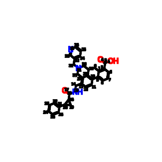 Cc1c(C(=O)O)cccc1-c1ccc(CNC(=O)C2CC2c2ccccc2)c2c1CCN(Cc1cccnc1)C2